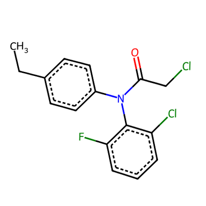 CCc1ccc(N(C(=O)CCl)c2c(F)cccc2Cl)cc1